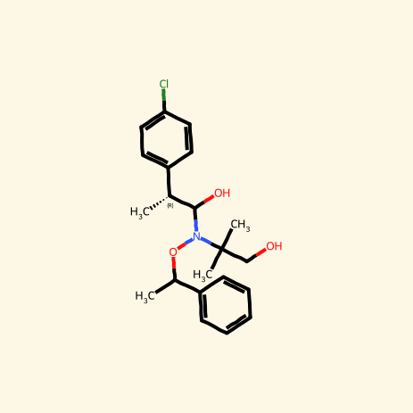 CC(ON(C(O)[C@H](C)c1ccc(Cl)cc1)C(C)(C)CO)c1ccccc1